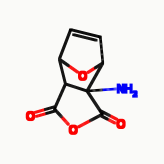 NC12C(=O)OC(=O)C1C1C=CC2O1